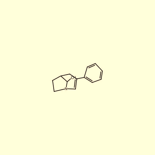 CC1C2CCN1C=C(c1ccccc1)C2